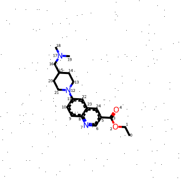 CCOC(=O)c1cnc2ccc(N3CCC(CN(C)C)CC3)cc2c1